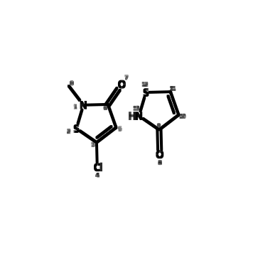 Cn1sc(Cl)cc1=O.O=c1ccs[nH]1